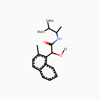 CCOC(C(=O)NC(C)C(OC)OC)c1c(C)ccc2ccccc12